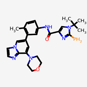 Cc1ccc(NC(=O)c2cn(C(C)(C)C)c(P)n2)cc1-c1cc(N2CCOCC2)c2nccn2c1